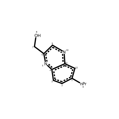 [CH2]CCc1ccc2nc(CO)cnc2c1